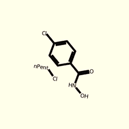 CCCCCCl.O=C(NO)c1ccc(Cl)cc1